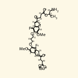 COc1cc2c(c(F)c1OCCCOc1c(OC)cc3sc(C(=O)CCC(=O)OC(C)CN)cc3c1F)CN(C(=O)CCC(=O)OC(C)(C)C)C2